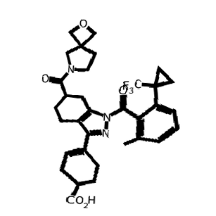 Cc1cccc(C2(C(F)(F)F)CC2)c1C(=O)n1nc(C2=CCC(C(=O)O)CC2)c2c1CC(C(=O)N1CCC3(COC3)C1)CC2